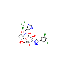 O=C([C@@H]1O[C@H](CO)[C@H](O)[C@H](n2cc(-c3cc(F)c(F)c(F)c3)nn2)[C@H]1O)N(Cc1cncnc1C(F)(F)F)[C@H]1CCCC[C@@H]1O